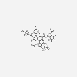 C[C@@H]1c2c(C(F)F)nn(CC(=O)N[C@@H](Cc3cc(F)cc(F)c3)c3nc(C#CC(C)(C)S(=O)(=O)C4CC4)c(I)cc3-c3ccc(Cl)c4c(NS(=O)(=O)C5(C)CC5)nn(CC(F)F)c34)c2C(F)(F)[C@@H]1C